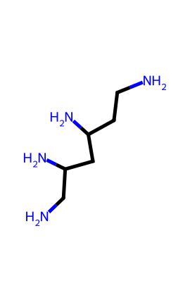 NCCC(N)CC(N)CN